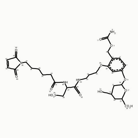 NC(=O)OCc1ccc(OC2CC(O)CC(C(=O)O)O2)cc1OCCCNC(=O)C(CS(=O)(=O)O)NC(=O)CCCCCN1C(=O)C=CC1=O